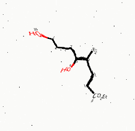 CCOC(=O)CCC(CC)C(O)CCCO